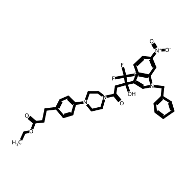 CCOC(=O)CCc1ccc(N2CCN(C(=O)CC(O)(c3cn(Cc4ccccc4)c4cc([N+](=O)[O-])ccc34)C(F)(F)F)CC2)cc1